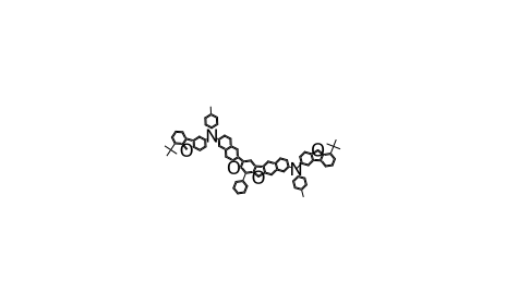 Cc1ccc(N(c2ccc3cc4c(cc3c2)oc2c(-c3ccccc3)c3oc5cc6cc(N(c7ccc(C)cc7)c7ccc8oc9c(C(C)(C)C)cccc9c8c7)ccc6cc5c3cc24)c2ccc3oc4c(C(C)(C)C)cccc4c3c2)cc1